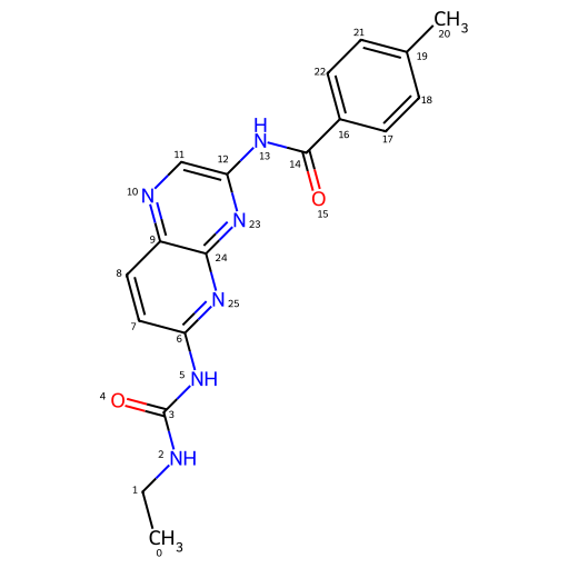 CCNC(=O)Nc1ccc2ncc(NC(=O)c3ccc(C)cc3)nc2n1